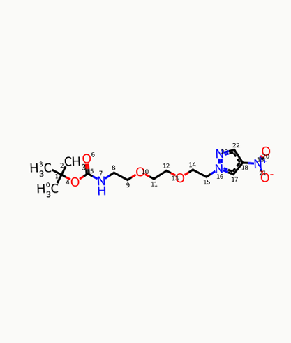 CC(C)(C)OC(=O)NCCOCCOCCn1cc([N+](=O)[O-])cn1